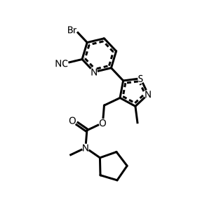 Cc1nsc(-c2ccc(Br)c(C#N)n2)c1COC(=O)N(C)C1CCCC1